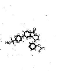 CC(F)Oc1ccccc1[C@@H]1CCn2c(=O)c3ccc(-c4cnc(C(C)(C)O)nc4)cc3n21